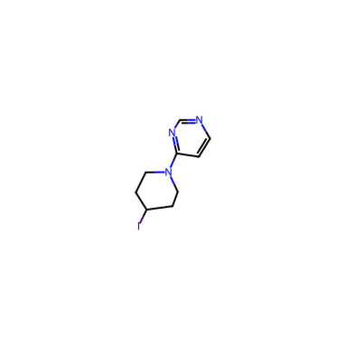 IC1CCN(c2ccncn2)CC1